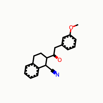 COc1cccc(CC(=O)C2CCc3ccccc3C2C#N)c1